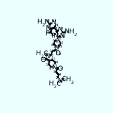 CN(C)C/C=C/C(=O)N1CCC(C(=O)N(C)CCC(=O)N2CCN(c3nc(N)nc(-c4cnc(N)nc4C(F)F)n3)CC2)CC1